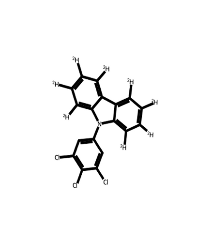 [2H]c1c([2H])c([2H])c2c(c1[2H])c1c([2H])c([2H])c([2H])c([2H])c1n2-c1cc(Cl)c(Cl)c(Cl)c1